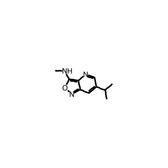 CNc1onc2cc(C(C)C)cnc12